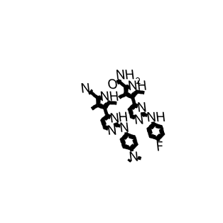 Cc1[nH]c(C#N)c(C)c1-c1ccnc(Nc2ccc(N(C)C)cc2)n1.Cc1[nH]c(C(N)=O)c(C)c1-c1ccnc(Nc2ccc(F)cc2)n1